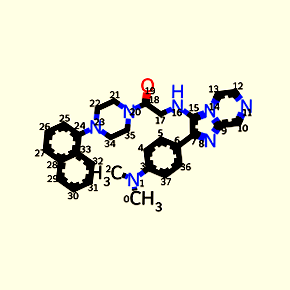 CN(C)c1ccc(-c2nc3cnccn3c2NCC(=O)N2CCN(c3cccc4ccccc34)CC2)cc1